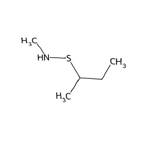 CCC(C)SNC